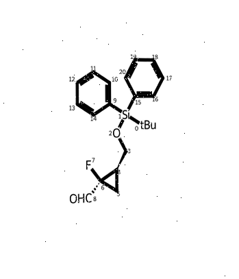 CC(C)(C)[Si](OC[C@H]1C[C@]1(F)C=O)(c1ccccc1)c1ccccc1